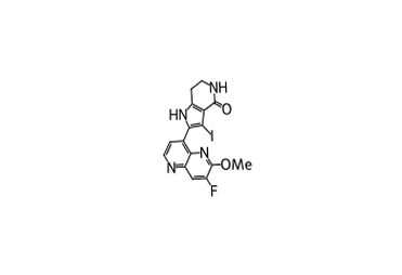 COc1nc2c(-c3[nH]c4c(c3I)C(=O)NCC4)ccnc2cc1F